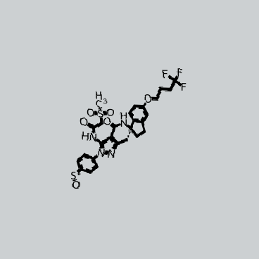 CS(=O)(=O)CC(=O)Nc1c2c(nn1-c1ccc([S+]=O)cc1)C[C@]1(CCc3cc(OCCCC(F)(F)F)ccc31)NC2=O